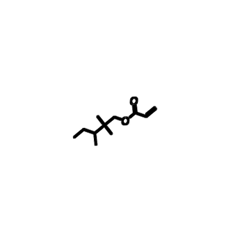 C=CC(=O)OCC(C)(C)C(C)CC